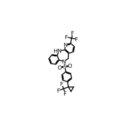 O=S(=O)(c1ccc(C2(C(F)(F)F)CC2)cc1)N1Cc2ccc(C(F)(F)F)nc2Nc2ccccc21